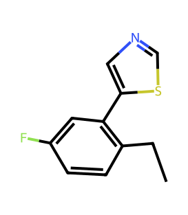 CCc1ccc(F)cc1-c1cncs1